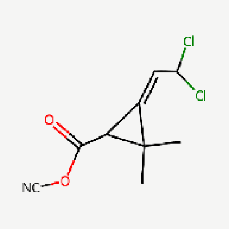 CC1(C)C(=CC(Cl)Cl)C1C(=O)OC#N